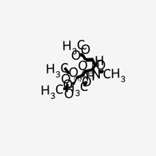 COC(=O)C1=C[C@H]2OC(C)=N[C@@H]2[C@H]([C@H](OC)[C@@H](COC(C)=O)OC(C)=O)O1